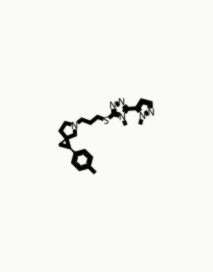 Cc1ccc([C@H]2C[C@]23CCN(CCCSc2nnc(-c4ccnn4C)n2C)C3)cc1